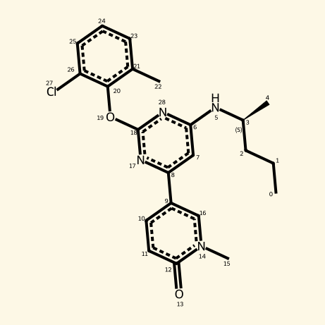 CCC[C@H](C)Nc1cc(-c2ccc(=O)n(C)c2)nc(Oc2c(C)cccc2Cl)n1